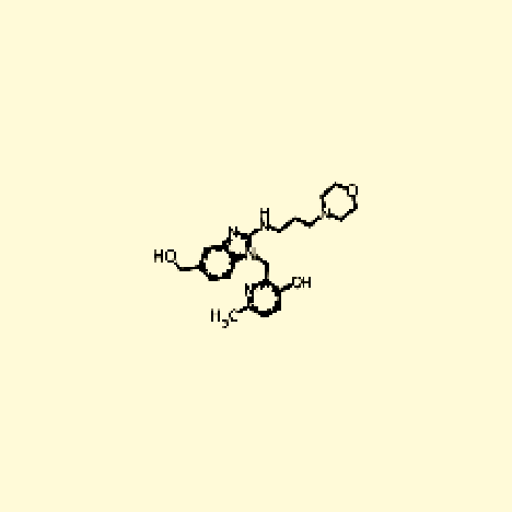 Cc1ccc(O)c(Cn2c(NCCCN3CCOCC3)nc3cc(CO)ccc32)n1